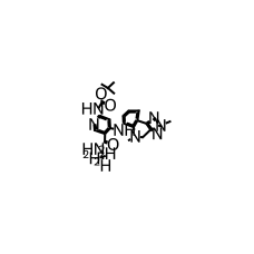 [2H]C([2H])([2H])NC(=O)c1cnc(NC(=O)OC(C)(C)C)cc1Nc1cccc2c1N(C)Cc1nn(C)nc1-2